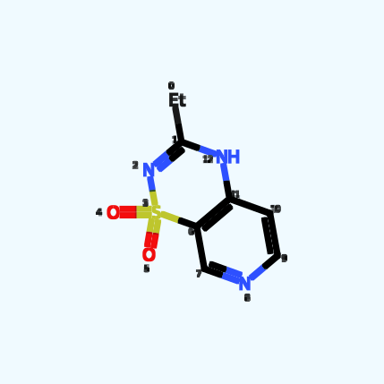 CCC1=NS(=O)(=O)c2cnccc2N1